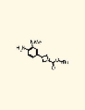 CNc1cc(C2CN(C(=O)OC(C)(C)C)C2)ccc1N